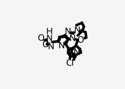 CC1CCC(Cn2c(N3CCCC34CCOC4)nc3cc(-c4noc(=O)[nH]4)nc(-c4cncc(Cl)c4)c32)CC1